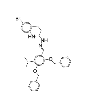 CC(C)c1cc(C=NNC2CCc3cc(Br)ccc3N2)c(OCc2ccccc2)cc1OCc1ccccc1